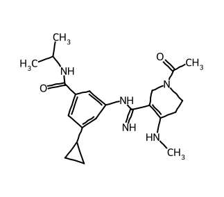 CNC1=C(C(=N)Nc2cc(C(=O)NC(C)C)cc(C3CC3)c2)CN(C(C)=O)CC1